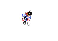 CCCn1c(=O)cc(NS(=O)(=O)c2ccccc2)[nH]c1=O